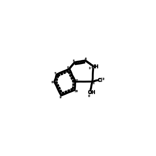 OC1(Cl)NC=Cc2ccccc21